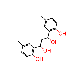 Cc1ccc(O)c(C(O)CC(O)c2cc(C)ccc2O)c1